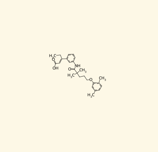 CCC(=CC(=O)O)c1cccc(NC(=O)C(C)(C)CCCOc2cc(C)ccc2C)c1